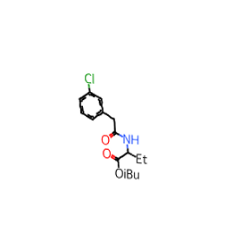 CCC(NC(=O)Cc1cccc(Cl)c1)C(=O)OCC(C)C